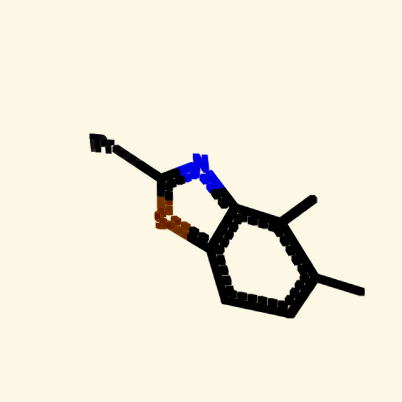 Cc1ccc2sc(C(C)C)nc2c1C